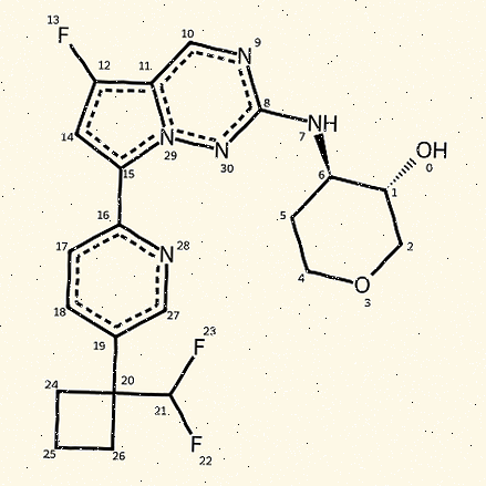 O[C@@H]1COCC[C@H]1Nc1ncc2c(F)cc(-c3ccc(C4(C(F)F)CCC4)cn3)n2n1